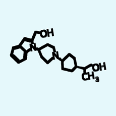 CC(CO)[C@H]1CC[C@@H](N2CCC(n3c(CO)cc4ccccc43)CC2)CC1